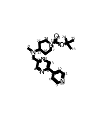 CN(Cc1cnc(-c2ccncc2)cn1)C1CCN(C(=O)OC(C)(C)C)CC1